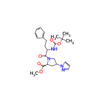 COC(=O)[C@@H]1CC(n2cccn2)CN1C(=O)C(CCc1ccccc1)NC(=O)OC(C)(C)C